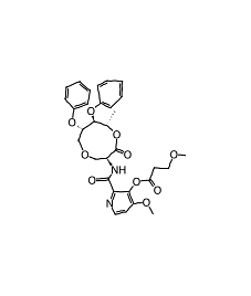 COCCC(=O)Oc1c(OC)ccnc1C(=O)N[C@H]1COC[C@H](Oc2ccccc2)[C@@H](Oc2ccccc2)[C@H](C)OC1=O